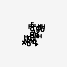 CC(C)(C)NC(=O)C(=O)N1CC2(CC2)C[C@H]1C(=O)NC(C[C@@H]1CCNC1=O)C(=O)COC(F)(F)F